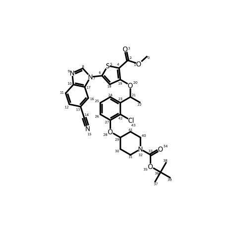 COC(=O)c1sc(-n2cnc3ccc(C#N)cc32)cc1OC(C)c1cccc(OC2CCN(C(=O)OC(C)(C)C)CC2)c1Cl